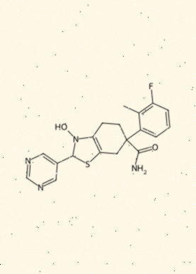 Cc1c(F)cccc1C1(C(N)=O)CCC2=C(C1)SC(c1cncnc1)N2O